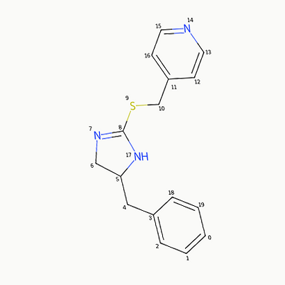 c1ccc(CC2CN=C(SCc3ccncc3)N2)cc1